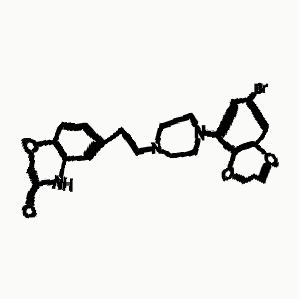 O=C1COc2ccc(CCN3CCN(c4cc(Br)cc5c4OCCO5)CC3)cc2N1